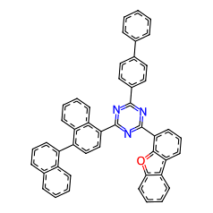 c1ccc(-c2ccc(-c3nc(-c4ccc(-c5cccc6ccccc56)c5ccccc45)nc(-c4cccc5c4oc4ccccc45)n3)cc2)cc1